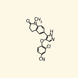 CN1C(=O)CCc2cc(-c3[nH]ncc3Oc3ccc(C#N)cc3Cl)ccc21